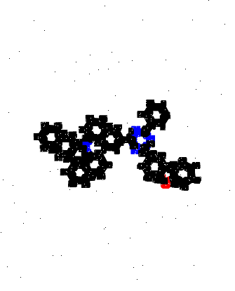 c1ccc(-c2nc(-c3ccc4c(N5c6cc7ccccc7cc6-c6cccc7cccc5c67)cccc4c3)nc(-c3ccc4oc5ccccc5c4c3)n2)cc1